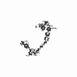 COc1cc(N2CCC(N3CCN(CCCOCCOCCC(=O)N[C@H](C(=O)N4C[C@H](O)C[C@H]4C(=O)NCc4ccc(-c5scnc5C)cc4)C(C)(C)C)CC3)CC2)ccc1Nc1ncc(Cl)c(Nc2ccccc2P(C)(C)=O)n1